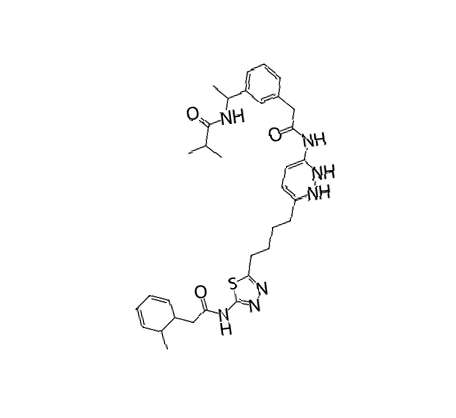 CC(C)C(=O)NC(C)c1cccc(CC(=O)NC2=CC=C(CCCCc3nnc(NC(=O)CC4C=CC=CC4C)s3)NN2)c1